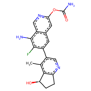 Cc1c(-c2cc3cc(OC(N)=O)ncc3c(N)c2F)cnc2c1[C@H](O)CC2